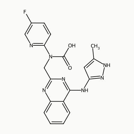 Cc1cc(Nc2nc(CN(C(=O)O)c3ccc(F)cn3)nc3ccccc23)n[nH]1